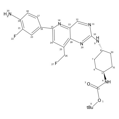 CC(C)(C)OC(=O)N[C@H]1CC[C@H](Nc2ncc3nc(-c4ccc(N)c(F)c4)cc(CF)c3n2)CC1